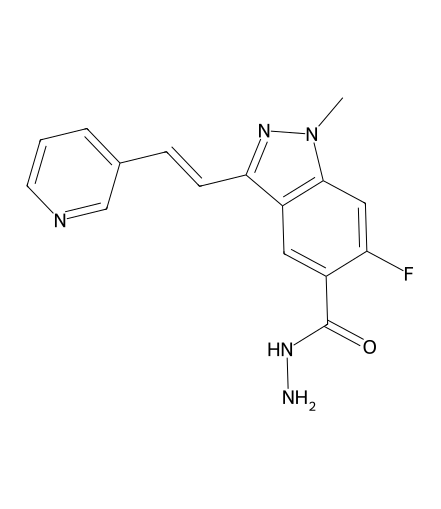 Cn1nc(/C=C/c2cccnc2)c2cc(C(=O)NN)c(F)cc21